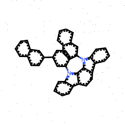 c1cc(-c2ccc3ccccc3c2)cc(-n2c3ccccc3c3ccc4c5ccccc5n(-c5ccc6ccccc6c5)c4c32)c1